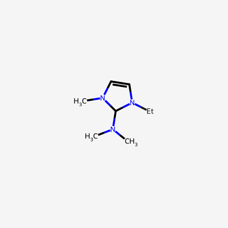 CCN1C=CN(C)C1N(C)C